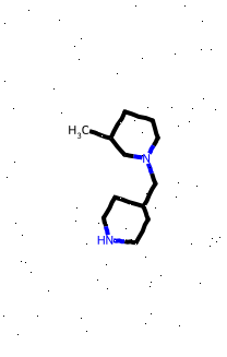 CC1CCCN(CC2CCNCC2)C1